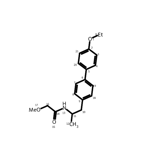 CCOc1ccc(-c2ccc(CC(C)NC(=O)COC)cc2)cc1